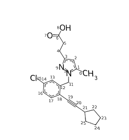 Cc1cc(CCC(=O)O)nn1Cc1cc(Cl)ccc1C#CC1CCCC1